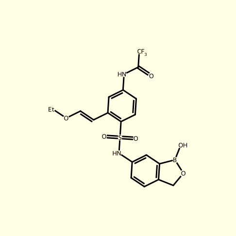 CCOC=Cc1cc(NC(=O)C(F)(F)F)ccc1S(=O)(=O)Nc1ccc2c(c1)B(O)OC2